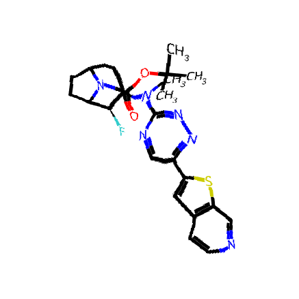 CN(c1ncc(-c2cc3ccncc3s2)nn1)[C@@H]1CC2CCC([C@@H]1F)N2C(=O)OC(C)(C)C